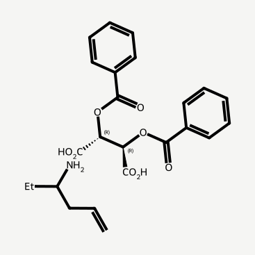 C=CCC(N)CC.O=C(O[C@@H](C(=O)O)[C@@H](OC(=O)c1ccccc1)C(=O)O)c1ccccc1